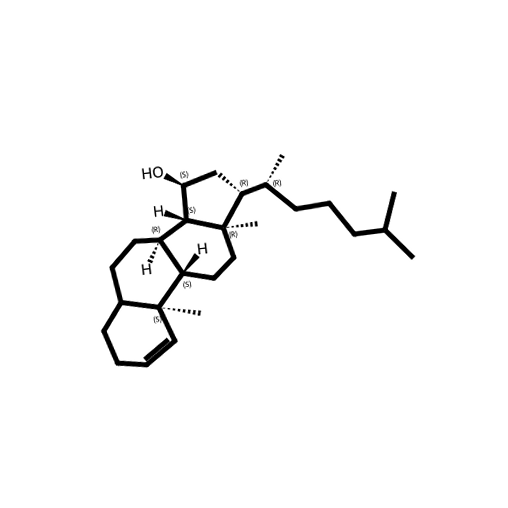 CC(C)CCC[C@@H](C)[C@H]1C[C@H](O)[C@H]2[C@@H]3CCC4CCC=C[C@]4(C)[C@H]3CC[C@@]21C